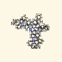 Cc1cc(C)cc(-c2c(-n3c4ccc(-c5ccccc5)cc4c4cc(-c5ccccc5)ccc43)c(-c3ccc(-n4c5cccc(C#N)c5c5c(C#N)cccc54)cc3)nc(-c3ccc(-n4c5cccc(C#N)c5c5c(C#N)cccc54)cc3)c2-n2c3ccc(-c4ccccc4)cc3c3cc(-c4ccccc4)ccc32)c1